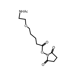 CC(=O)NCCOCCCCC(=O)ON1C(=O)CCC1=O